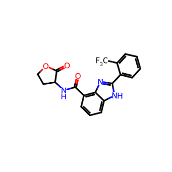 O=C(NC1CCOC1=O)c1cccc2[nH]c(-c3ccccc3C(F)(F)F)nc12